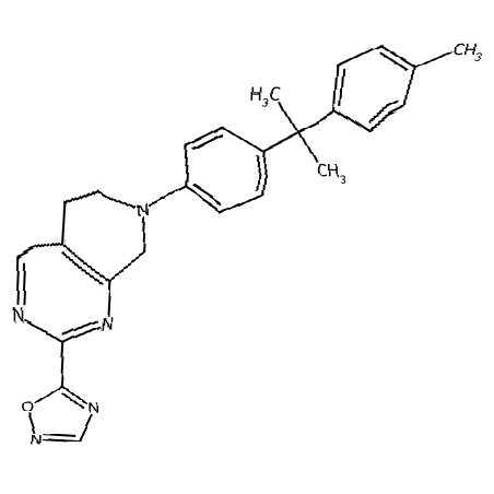 Cc1ccc(C(C)(C)c2ccc(N3CCc4cnc(-c5ncno5)nc4C3)cc2)cc1